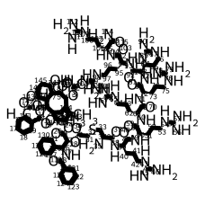 CC(=O)O[C@H]1C(=O)[C@@]2(C)[C@H]([C@H](OC(=O)c3ccccc3)[C@]3(O)C[C@H](OC(=O)[C@H](OC(=O)CSC[C@H](N)C(=O)N[C@H](CCCNC(=N)N)C(=O)N[C@H](CCCNC(=N)N)C(=O)N[C@H](CCCNC(=N)N)C(=O)N[C@H](CCCNC(=N)N)C(=O)N[C@H](CCCNC(=N)N)C(=O)N[C@H](CCCNC(=N)N)C(=O)N[C@H](CCCNC(=N)N)C(N)=O)[C@@H](NC(=O)c4ccccc4)c4ccccc4)C(C)=C1C3(C)C)[C@]1(OC(C)=O)O[C@@H]1C[C@@H]2O